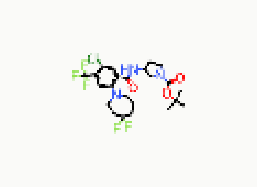 CC(C)(C)OC(=O)N1CCC(NC(=O)c2cc(Cl)c(C(F)(F)F)cc2N2CCCC(F)(F)CC2)C1